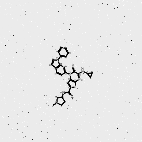 CN1CCC(NC(=O)c2cc3c(nc(NC4CC4)c(=O)n3-c3ccc4ccn(-c5ccccc5)c4c3)s2)C1